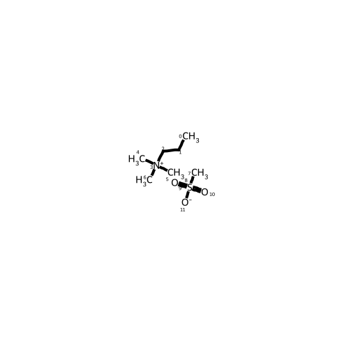 CCC[N+](C)(C)C.CS(=O)(=O)[O-]